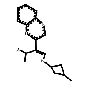 CC1CC(N/C=C(/c2cnc3ccccc3n2)C(C)N)C1